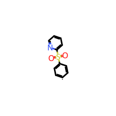 O=S(=O)(c1cc[c]cc1)c1ccccn1